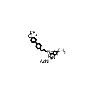 CC(=O)Nc1nc(NCCCc2ccc(-c3ccc(OC(F)(F)F)cc3)cc2)c2cc(C)sc2n1